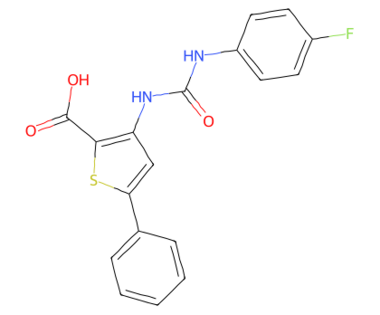 O=C(Nc1ccc(F)cc1)Nc1cc(-c2ccccc2)sc1C(=O)O